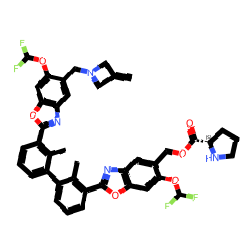 C=C1CN(Cc2cc3nc(-c4cccc(-c5cccc(-c6nc7cc(COC(=O)[C@@H]8CCCN8)c(OC(F)F)cc7o6)c5C)c4C)oc3cc2OC(F)F)C1